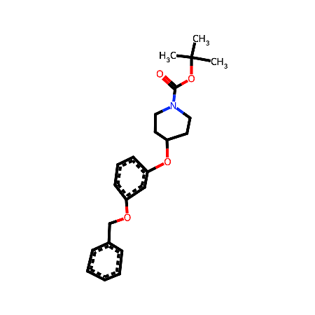 CC(C)(C)OC(=O)N1CCC(Oc2cccc(OCc3ccccc3)c2)CC1